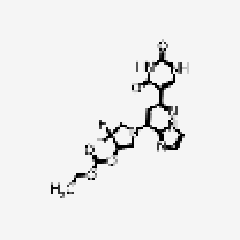 CCOC(=O)OC1CN(c2cc(-c3c[nH]c(=O)[nH]c3=O)nn3ccnc23)CC1(F)F